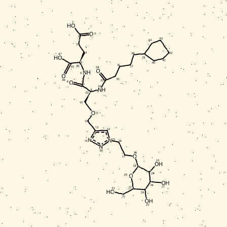 O=C(O)CC[C@@H](NC(=O)[C@H](COCc1cn(CCOC2OC(CO)C(O)C(O)C2O)nn1)NC(=O)CCCCC1CCCCC1)C(=O)O